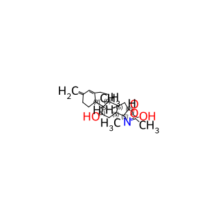 C=C1C=C2CC[C@@H]3[C@H]([C@@H](O)C[C@@]4(C)[C@H]3C[C@H]3OC(C)=N[C@]34C(=O)CO)[C@@]2(C)CC1